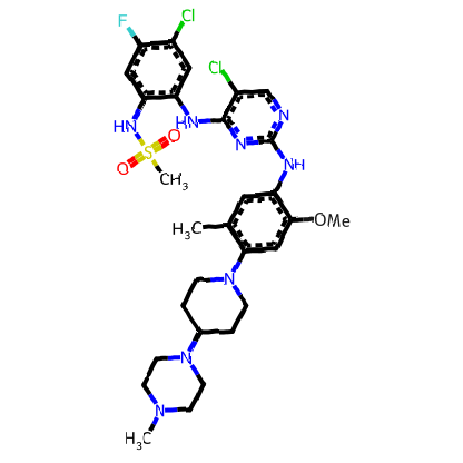 COc1cc(N2CCC(N3CCN(C)CC3)CC2)c(C)cc1Nc1ncc(Cl)c(Nc2cc(Cl)c(F)cc2NS(C)(=O)=O)n1